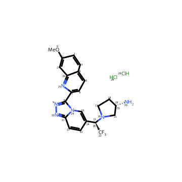 COc1ccc2ccc(-c3nnc4ccc([C@@H](N5CC[C@H](N)C5)C(F)(F)F)cn34)nc2c1.Cl.Cl